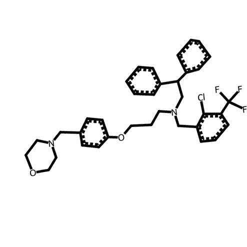 FC(F)(F)c1cccc(CN(CCCOc2ccc(CN3CCOCC3)cc2)CC(c2ccccc2)c2ccccc2)c1Cl